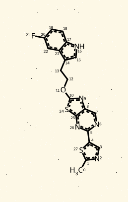 Cc1ncc(-c2ncc3nc(OCCc4c[nH]c5ccc(F)cc45)sc3n2)s1